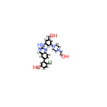 OCCN1CCN(c2cc(CO)cc(Nc3ncc4cc(-c5cc(O)ccc5Cl)ccc4n3)c2)CC1